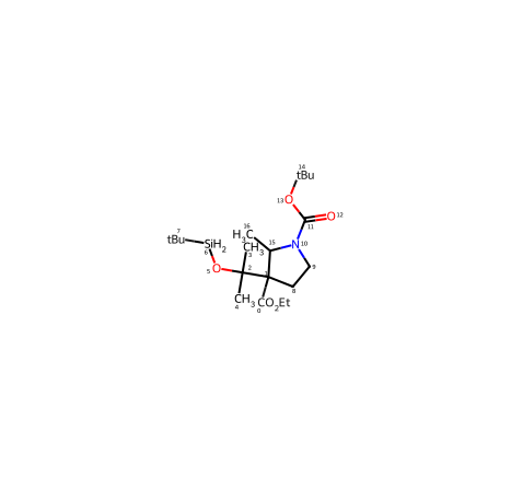 CCOC(=O)C1(C(C)(C)O[SiH2]C(C)(C)C)CCN(C(=O)OC(C)(C)C)C1C